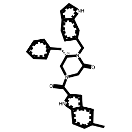 Cc1ccc2[nH]c(C(=O)N3CC(=O)N(Cc4ccc5cc[nH]c5c4)[C@@H](Cc4ccccc4)C3)cc2c1